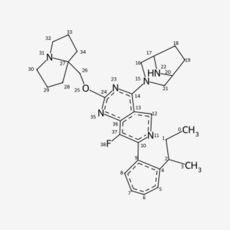 CCC(C)c1ccccc1-c1ncc2c(N3CC4CCC(C3)N4)nc(OCC34CCCN3CCC4)nc2c1F